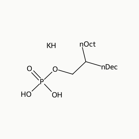 CCCCCCCCCCC(CCCCCCCC)COP(=O)(O)O.[KH]